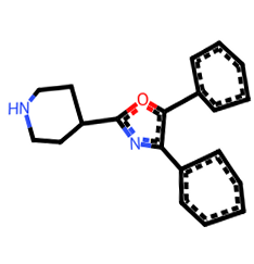 c1ccc(-c2nc(C3CCNCC3)oc2-c2ccccc2)cc1